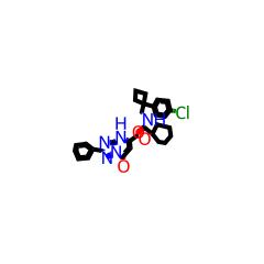 O=C(NCC1(c2ccc(Cl)cc2)CCC1)C1(OCc2cc(=O)n3nc(-c4ccccc4)nc3[nH]2)CCCCC1